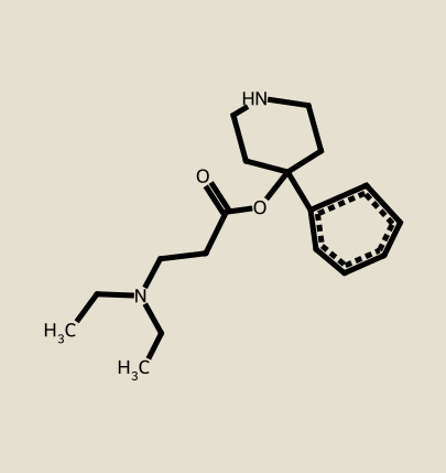 CCN(CC)CCC(=O)OC1(c2ccccc2)CCNCC1